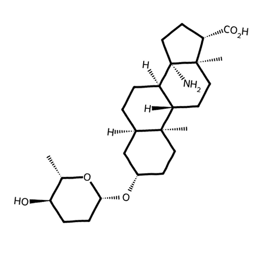 C[C@@H]1O[C@H](O[C@H]2CC[C@@]3(C)[C@H](CC[C@@H]4[C@@H]3CC[C@]3(C)[C@@H](C(=O)O)CC[C@]43N)C2)CC[C@H]1O